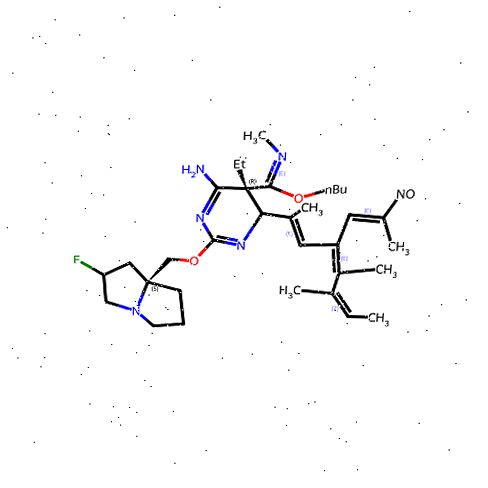 C\C=C(C)/C(C)=C(/C=C(\C)N=O)\C=C(/C)C1N=C(OC[C@@]23CCCN2CC(F)C3)N=C(N)[C@]1(CC)/C(=N\C)OCCCC